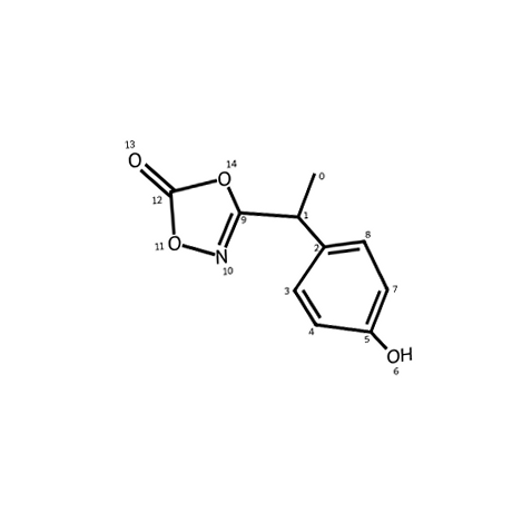 CC(c1ccc(O)cc1)c1noc(=O)o1